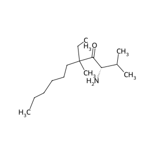 CCCCCCC(C)(CC)C(=O)[C@@H](N)C(C)C